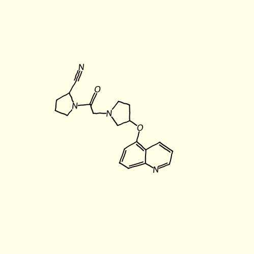 N#CC1CCCN1C(=O)CN1CCC(Oc2cccc3ncccc23)C1